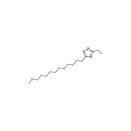 CCn1nnc(CCCCCCCCCCCOC)n1